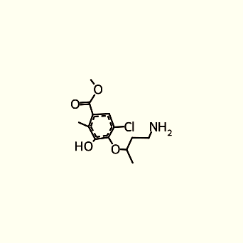 COC(=O)c1cc(Cl)c(OC(C)CCN)c(O)c1C